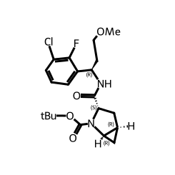 COCC[C@@H](NC(=O)[C@@H]1C[C@H]2C[C@H]2N1C(=O)OC(C)(C)C)c1cccc(Cl)c1F